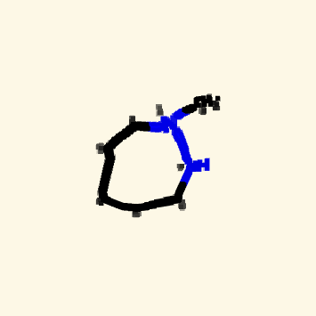 [CH2]N1CCCCCN1